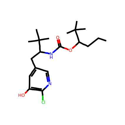 CCCC(OC(=O)NC(Cc1cnc(Cl)c(O)c1)C(C)(C)C)C(C)(C)C